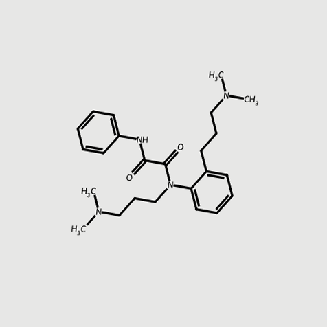 CN(C)CCCc1ccccc1N(CCCN(C)C)C(=O)C(=O)Nc1ccccc1